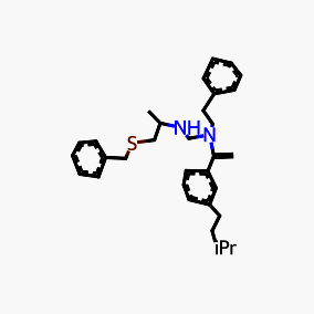 C=C(c1cccc(CCC(C)C)c1)N(CCc1ccccc1)CNC(C)CSCc1ccccc1